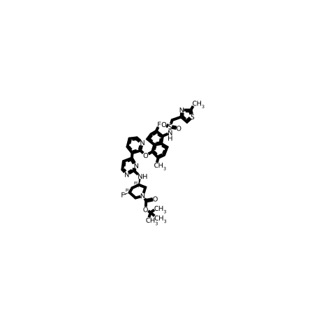 Cc1nc(CS(=O)(=O)Nc2c(F)ccc3c(Oc4ncccc4-c4ccnc(N[C@@H]5C[C@@H](F)CN(C(=O)OC(C)(C)C)C5)n4)c(C)ccc23)cs1